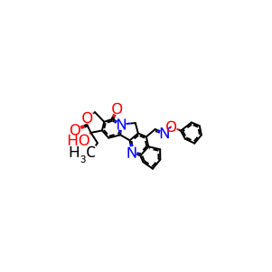 CC[C@@]1(O)C(=O)OCc2c1cc1n(c2=O)Cc2c-1nc1ccccc1c2C=NOc1ccccc1